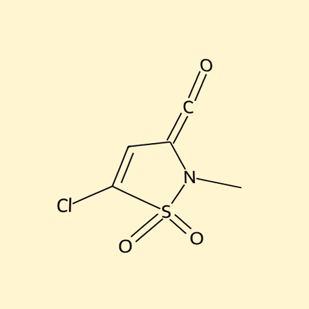 CN1C(=C=O)C=C(Cl)S1(=O)=O